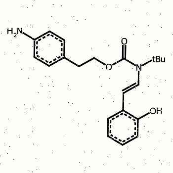 CC(C)(C)N(C=Cc1ccccc1O)C(=O)OCCc1ccc(N)cc1